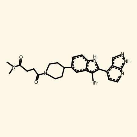 CC(C)c1c(-c2ccnc3[nH]ncc23)[nH]c2ccc(C3CCN(C(=O)CCC(=O)N(C)C)CC3)cc12